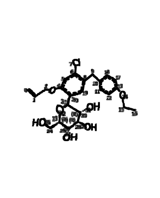 C=CCOc1cc(Cl)c(Cc2ccc(OCC)cc2)cc1C1O[C@H](CO)[C@@H](O)[C@H](O)[C@H]1O